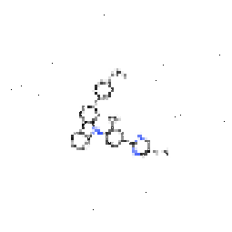 Cc1ccc(-c2ccc3c4ccccc4n(-c4ccc(-c5ncc(C#N)cn5)cc4C#N)c3c2)cc1